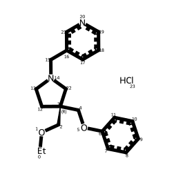 CCOC[C@@]1(COc2ccccc2)CCN(Cc2cccnc2)C1.Cl